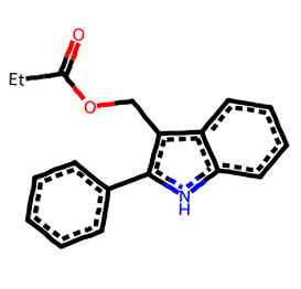 CCC(=O)OCc1c(-c2ccccc2)[nH]c2ccccc12